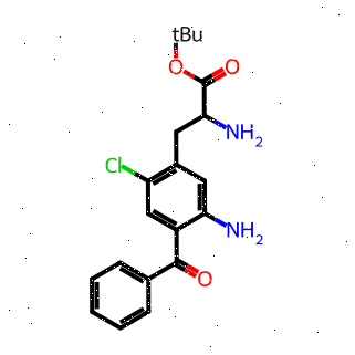 CC(C)(C)OC(=O)C(N)Cc1cc(N)c(C(=O)c2ccccc2)cc1Cl